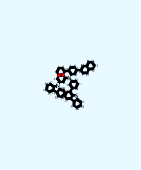 c1ccc(-c2ccc(-c3ccc4ccccc4c3)cc2N(c2cccc(-c3cccc4c3sc3ccccc34)c2)c2cccc(-n3c4ccccc4c4ccccc43)c2)cc1